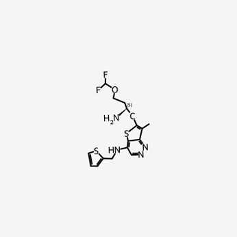 Cc1c(C[C@@H](N)CCOC(F)F)sc2c(NCc3cccs3)cnnc12